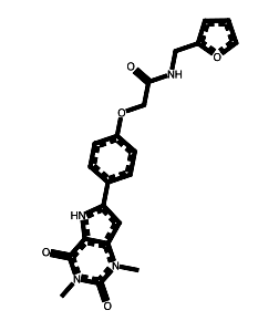 Cn1c(=O)c2[nH]c(-c3ccc(OCC(=O)NCc4ccco4)cc3)cc2n(C)c1=O